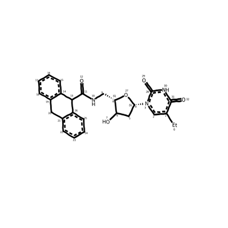 CCc1cn([C@@H]2CC(O)[C@H](CNC(=O)C3c4ccccc4Cc4ccccc43)O2)c(=O)[nH]c1=O